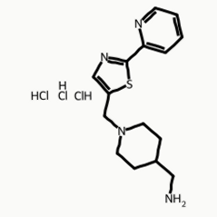 Cl.Cl.Cl.NCC1CCN(Cc2cnc(-c3ccccn3)s2)CC1